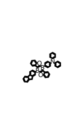 c1ccc(N(c2ccccc2)c2ccc(B3c4oc5ccccc5c4B(c4ccc5c(c4)Cc4ccccc4-5)c4oc5ccccc5c43)cc2)cc1